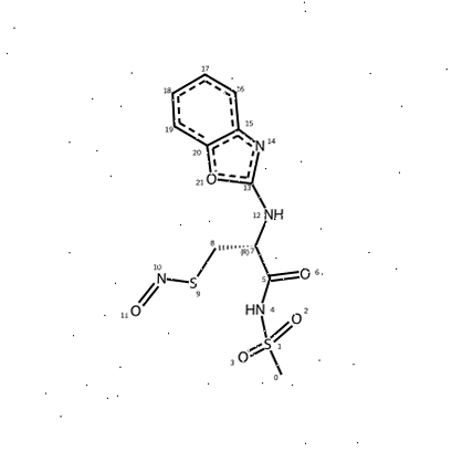 CS(=O)(=O)NC(=O)[C@H](CSN=O)Nc1nc2ccccc2o1